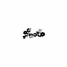 C=C(C)CCN1C(=O)[C@H](CC(=O)N2CCC(N3CCc4ccccc4NC3=O)CC2)SC1c1ccccc1C1CCN(C)CC1